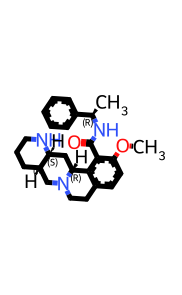 COc1ccc2c(c1C(=O)N[C@H](C)c1ccccc1)[C@H]1C[C@@H]3NCCC[C@@H]3CN1CC2